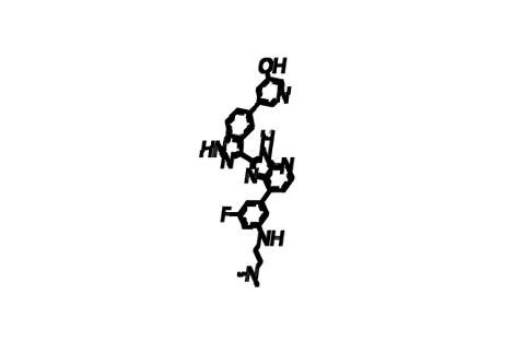 CN(C)CCNc1cc(F)cc(-c2ccnc3[nH]c(-c4n[nH]c5ccc(-c6cncc(O)c6)cc45)nc23)c1